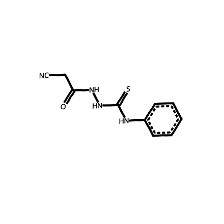 N#CCC(=O)NNC(=S)Nc1ccccc1